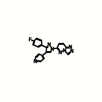 Fc1ccc(-c2nn(-c3ccc4nncn4n3)cc2-c2ccncc2)cc1